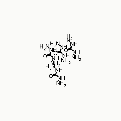 NNC(=O)NN.NNC(=O)NN.NNC(=O)NN.NNC(=O)NN